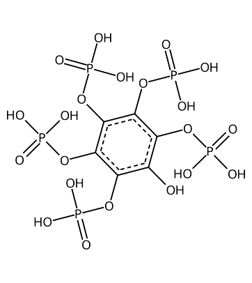 O=P(O)(O)Oc1c(O)c(OP(=O)(O)O)c(OP(=O)(O)O)c(OP(=O)(O)O)c1OP(=O)(O)O